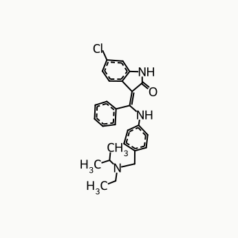 CCN(Cc1ccc(N/C(=C2\C(=O)Nc3cc(Cl)ccc32)c2ccccc2)cc1)C(C)C